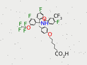 O=C(O)CCCCCCOc1ccc(C[C@@](NC(=O)c2ccc(F)c(C(F)(F)F)c2)(c2ccc(F)cc2)c2cc(F)cc(OC(F)(F)C(F)F)c2)cc1